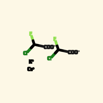 O=C([O-])C(F)Cl.O=C([O-])C(F)Cl.[Cs+].[K+]